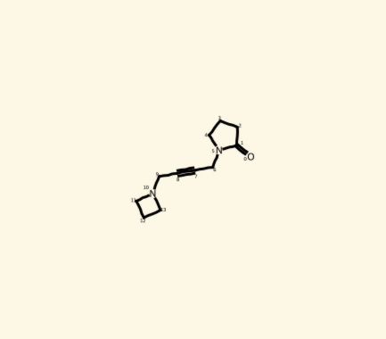 O=C1CCCN1CC#CCN1CCC1